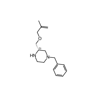 C=C(C)COC[C@@H]1CN(Cc2ccccc2)CCN1